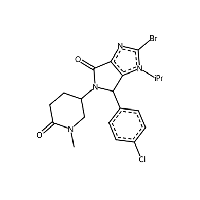 CC(C)n1c(Br)nc2c1C(c1ccc(Cl)cc1)N(C1CCC(=O)N(C)C1)C2=O